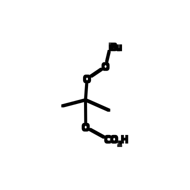 CCC(C)OOC(C)(C)OC(=O)O